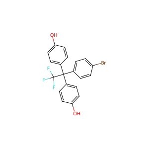 Oc1ccc(C(c2ccc(O)cc2)(c2ccc(Br)cc2)C(F)(F)F)cc1